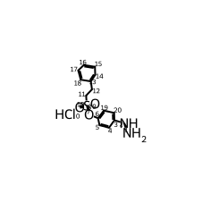 Cl.NNc1ccc(OS(=O)(=O)CCc2ccccc2)cc1